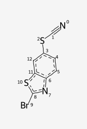 N#CSc1ccc2nc(Br)sc2c1